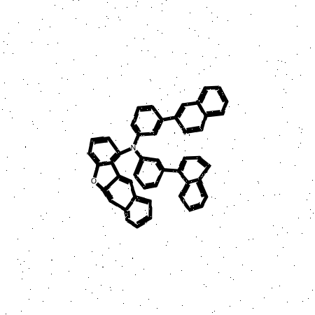 c1cc(-c2ccc3ccccc3c2)cc(N(c2cccc(-c3cccc4ccccc34)c2)c2cccc3oc4cc5ccccc5cc4c23)c1